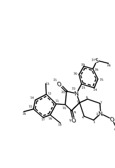 CON1CCC2(CC1)C(=O)C(c1c(C)cc(C)cc1C)C(=O)N2c1ccc(SC)cc1